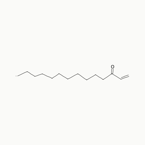 [CH2]CCCCCCCCCCC(=O)C=C